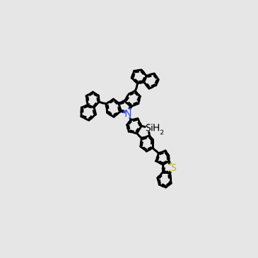 c1ccc2c(-c3ccc4c(c3)c3cc(-c5cccc6ccccc56)ccc3n4-c3ccc4c(c3)[SiH2]c3cc(-c5ccc6sc7ccccc7c6c5)ccc3-4)cccc2c1